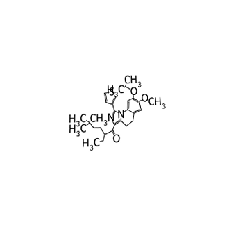 CCC(CCC(C)(C)C)C(=O)c1nc(-c2ccsc2)n2c1CCc1cc(OC)c(OC(C)C)cc1-2